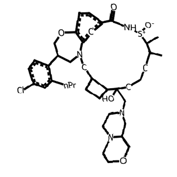 CCCc1cc(Cl)ccc1C1COc2ccc3cc2N(C1)CC1CCC1C(O)(CN1CCN2CCOCC2C1)CCCC(C)C(C)[S+]([O-])NC3=O